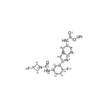 CC(C)OC(=O)Nc1cnc2nc(-c3cc(NC(=O)N4CC(F)C4)ccc3F)cn2c1